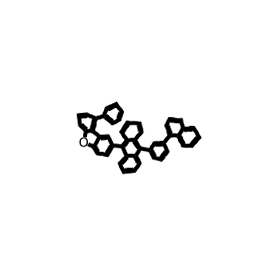 c1ccc(-c2cccc3oc4ccc(-c5c6ccccc6c(-c6cccc(-c7cccc8ccccc78)c6)c6ccccc56)cc4c23)cc1